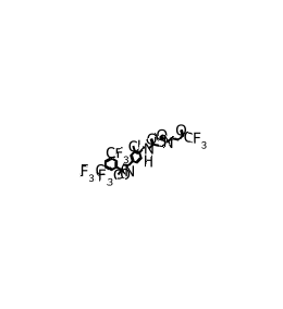 O=C(C=S(=O)=NCCC(=O)C(F)(F)F)NCc1ccc(C2=NOC(c3cc(C(F)(F)F)cc(C(F)(F)F)c3)(C(F)(F)F)C2)cc1Cl